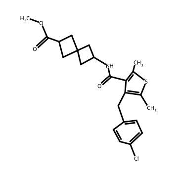 COC(=O)C1CC2(CC(NC(=O)c3c(C)sc(C)c3Cc3ccc(Cl)cc3)C2)C1